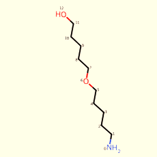 NCCCCCOCCCCCO